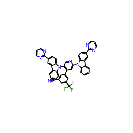 N#Cc1cc(-c2cc(-n3c4ccccc4c4cc(-c5ncccn5)ccc43)ncc2-n2c3ccccc3c3cc(-c4ncccn4)ccc32)cc(C(F)(F)F)c1